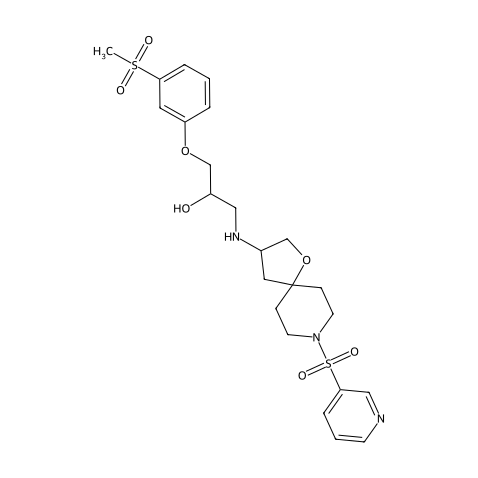 CS(=O)(=O)c1cccc(OCC(O)CNC2COC3(CCN(S(=O)(=O)c4cccnc4)CC3)C2)c1